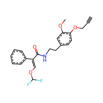 C#CCOc1ccc(CCNC(=O)C(=COC(F)F)c2ccccc2)cc1OC